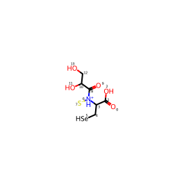 O=C(O)C(C[SeH])[NH+]([S-])C(=O)C(O)CO